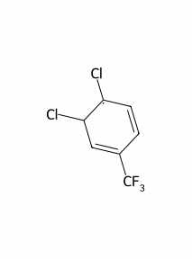 FC(F)(F)C1=CC(Cl)[C](Cl)C=C1